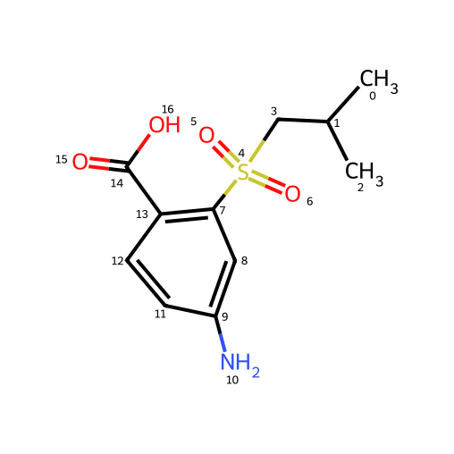 CC(C)CS(=O)(=O)c1cc(N)ccc1C(=O)O